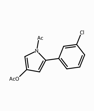 CC(=O)Oc1cc(-c2cccc(Cl)c2)n(C(C)=O)c1